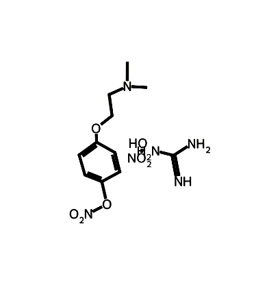 CN(C)CCOc1ccc(O[N+](=O)[O-])cc1.N=C(N)N.O=[N+]([O-])O